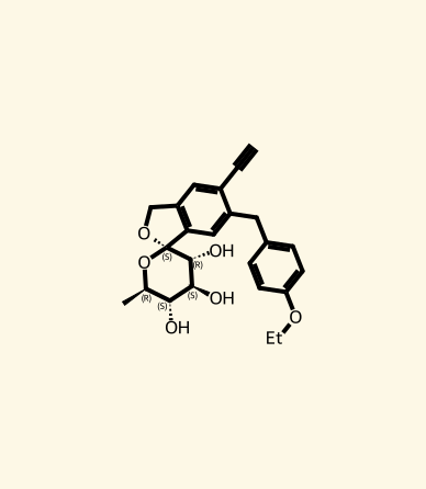 C#Cc1cc2c(cc1Cc1ccc(OCC)cc1)[C@]1(OC2)O[C@H](C)[C@@H](O)[C@H](O)[C@H]1O